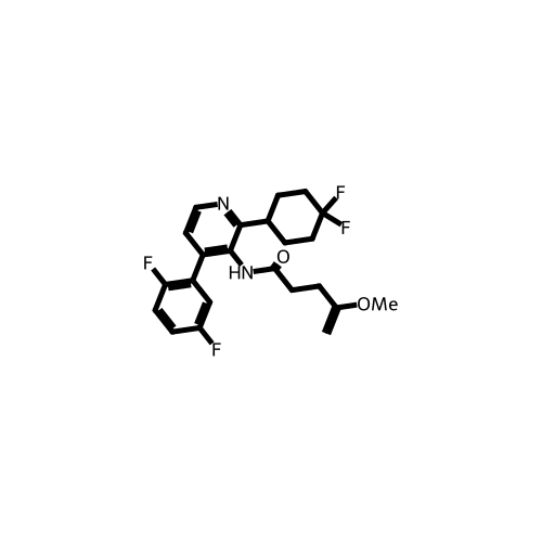 C=C(CCC(=O)Nc1c(-c2cc(F)ccc2F)ccnc1C1CCC(F)(F)CC1)OC